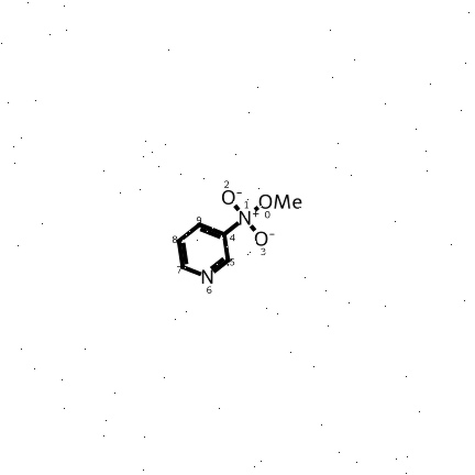 CO[N+]([O-])([O-])c1[c]nccc1